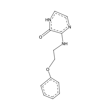 O=c1[nH]ccnc1NCCOc1ccccc1